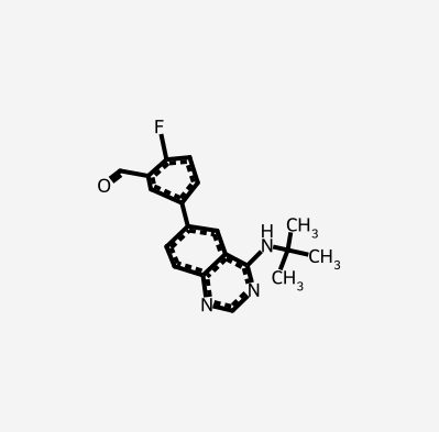 CC(C)(C)Nc1ncnc2ccc(-c3ccc(F)c(C=O)c3)cc12